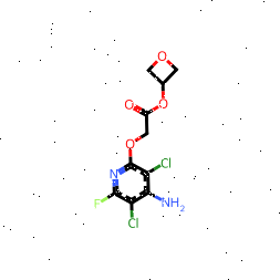 Nc1c(Cl)c(F)nc(OCC(=O)OC2COC2)c1Cl